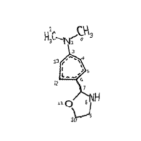 CN(C)c1ccc(C2NCCO2)cc1